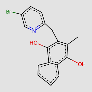 Cc1c(Cc2ccc(Br)cn2)c(O)c2ccccc2c1O